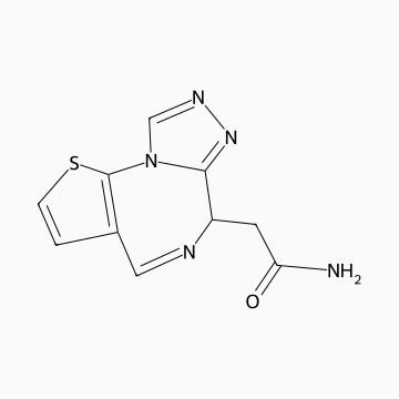 NC(=O)CC1N=Cc2ccsc2-n2cnnc21